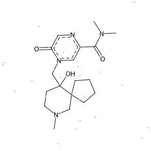 CN1CCC(O)(Cn2cc(C(=O)N(C)C)ncc2=O)C2(CCCC2)C1